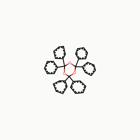 c1ccc(C2(c3ccccc3)OC(c3ccccc3)(c3ccccc3)OC(c3ccccc3)(c3ccccc3)O2)cc1